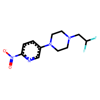 O=[N+]([O-])c1ccc(N2CCN(CC(F)F)CC2)cn1